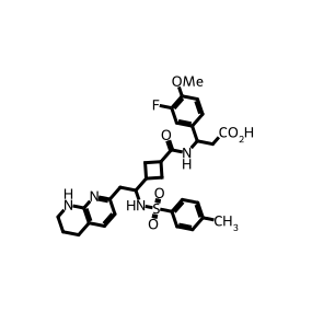 COc1ccc(C(CC(=O)O)NC(=O)C2CC(C(Cc3ccc4c(n3)NCCC4)NS(=O)(=O)c3ccc(C)cc3)C2)cc1F